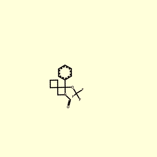 O=CN1CC2(CCC2)C1(OC(F)(F)F)c1ccccc1